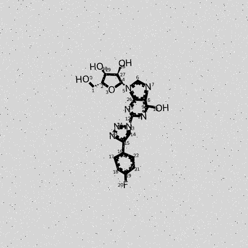 OC[C@H]1O[C@@H](n2cnc3c(O)nc(-n4cc(-c5ccc(F)cc5)nn4)nc32)[C@H](O)[C@@H]1O